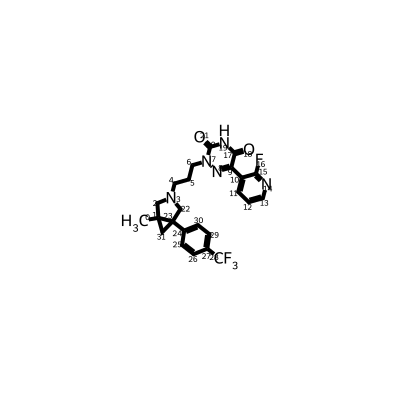 CC12CN(CCCn3nc(-c4cccnc4F)c(=O)[nH]c3=O)CC1(c1ccc(C(F)(F)F)cc1)C2